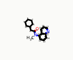 CN(C(=O)CC1CCCCC1)c1cccc2ncccc12